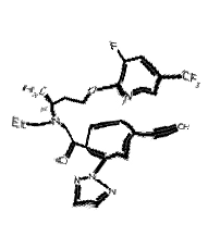 C#Cc1ccc(C(=O)N(CC)[C@@H](C)COc2ncc(C(F)(F)F)cc2F)c(-n2nccn2)c1